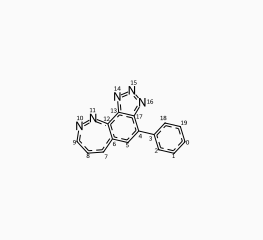 c1ccc(-c2cc3cccnnc3c3nnnc23)cc1